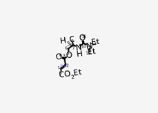 CCOC(=O)/C=C/C(=O)OC[C@@H](C)NC(=O)N(CC)CC